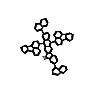 C[Si]1(C)c2cc(-c3cccc4ccccc34)ccc2-c2cc3c(-c4ccc5c6c(cccc46)-c4ccccc4-5)c4ccc(-c5cccc6ccccc56)cc4c(-c4ccc5c6c(cccc46)-c4ccccc4-5)c3cc21